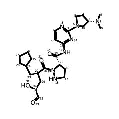 CN(C)[C@H]1CCN(c2nccc(NC(=O)[C@@H]3CCNN3C(=O)[C@H](CC3CCCC3)CN(O)C=O)n2)C1